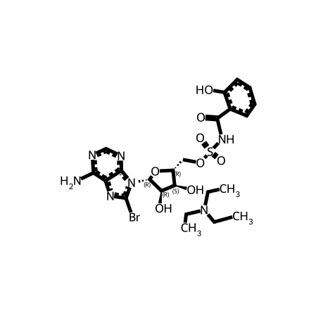 CCN(CC)CC.Nc1ncnc2c1nc(Br)n2[C@@H]1O[C@H](COS(=O)(=O)NC(=O)c2ccccc2O)[C@@H](O)[C@H]1O